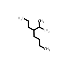 CCCC[C](CCC)C(C)C